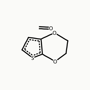 C=O.c1cc2c(s1)OCCO2